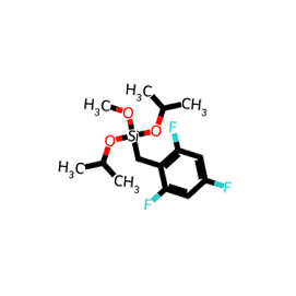 CO[Si](Cc1c(F)cc(F)cc1F)(OC(C)C)OC(C)C